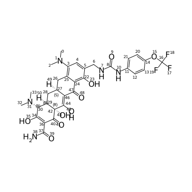 CN(C)c1cc(CNC(=O)Nc2ccc(OC(F)(F)F)cc2)c(O)c2c1C[C@@H]1C[C@@H]3[C@@H](N(C)C)C(O)=C(C(N)=O)C(=O)[C@]3(O)C(O)=C1C2=O